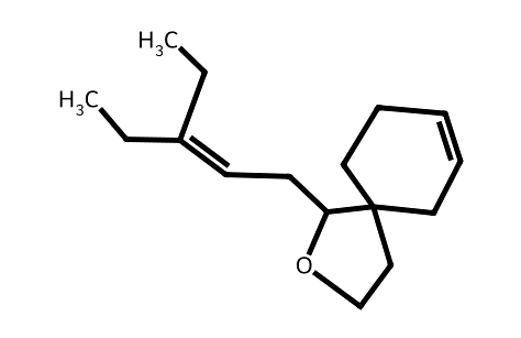 CCC(=CCC1OCCC12CC=CCC2)CC